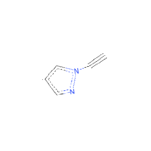 C#Cn1c[c]cn1